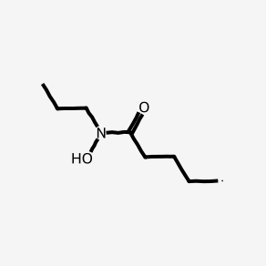 [CH2]CCCC(=O)N(O)CCC